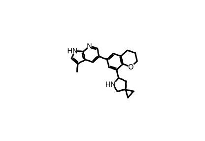 Cc1c[nH]c2ncc(-c3cc4c(c(C5CC6(CC6)CN5)c3)OCCC4)cc12